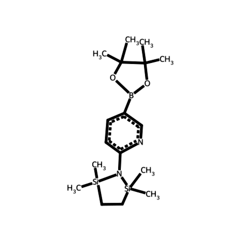 CC1(C)OB(c2ccc(N3[Si](C)(C)CC[Si]3(C)C)nc2)OC1(C)C